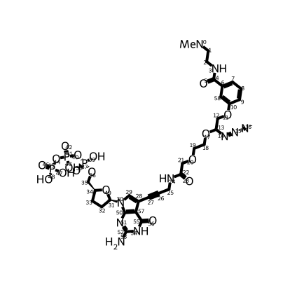 CNCCNC(=O)c1cccc(OCC(N=[N+]=[N-])OCCOCC(=O)NCC#Cc2cn([C@H]3CC[C@@H](COP(=O)(O)OP(=O)(O)OP(=O)(O)O)O3)c3nc(N)[nH]c(=O)c23)c1